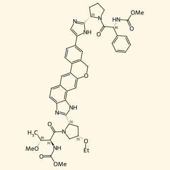 CCO[C@H]1C[C@@H](c2nc3ccc4cc5c(cc4c3[nH]2)OCc2cc(-c3cnc([C@@H]4CCCN4C(=O)[C@H](NC(=O)OC)c4ccccc4)[nH]3)ccc2-5)N(C(=O)[C@@H](NC(=O)OC)[C@@H](C)OC)C1